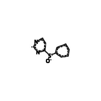 [O-][S+](c1ccccc1)c1ccn[c]n1